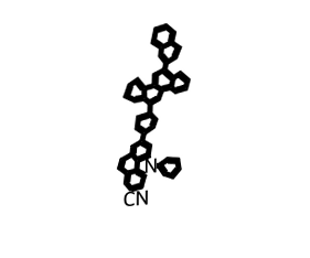 N#Cc1cc2ccc3cc(-c4ccc(-c5cc6c7ccccc7c(-c7ccc8ccccc8c7)cc6c6ccccc56)cc4)cc4c3c2c(c1)n4-c1ccccc1